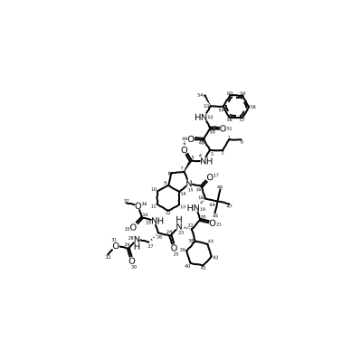 CCCC(NC(=O)[C@@H]1CC2CCCCC2N1C(=O)[C@@H](NC(=O)[C@@H](NC(=O)[C@H](CNC(=O)OC)NC(=O)OC)C1CCCCC1)C(C)(C)C)C(=O)C(=O)N[C@@H](C)c1ccccc1